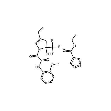 CCC1=NN(C(=O)C(=O)Nc2ccccc2OC)C(O)(C(F)(F)F)C1.CCOC(=O)c1ccsc1